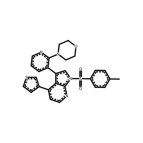 Cc1ccc(S(=O)(=O)n2cc(-c3cccnc3N3CCOCC3)c3c(-c4ccsc4)ccnc32)cc1